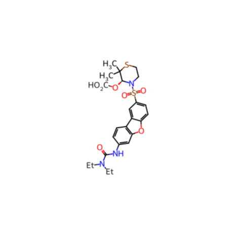 CCN(CC)C(=O)Nc1ccc2c(c1)oc1ccc(S(=O)(=O)N3CCSC(C)(C)[C@@H]3OC(=O)O)cc12